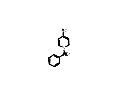 Br.CC(=O)C1=CCN(Cc2ccccc2)C=C1